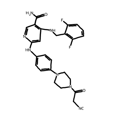 [C-]#[N+]CC(=O)N1CCN(c2ccc(Nc3cc(NCc4c(F)cccc4F)c(C(N)=O)cn3)cc2)CC1